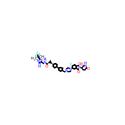 CC(C)(c1n[nH]c(CNC(=O)[C@H]2C[C@@H]2c2ccc(-c3ccc(CN4CCN(c5cc6c(cc5F)C(=O)N(C5CCC(=O)NC5=O)C6=O)CC4)cc3)cc2)n1)C(F)(F)F